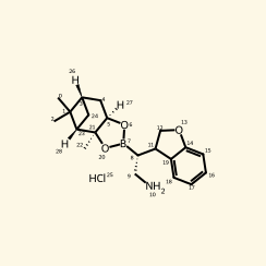 CC1(C)[C@@H]2C[C@H]3OB([C@@H](CN)C4COc5ccccc54)O[C@@]3(C)[C@H]1C2.Cl